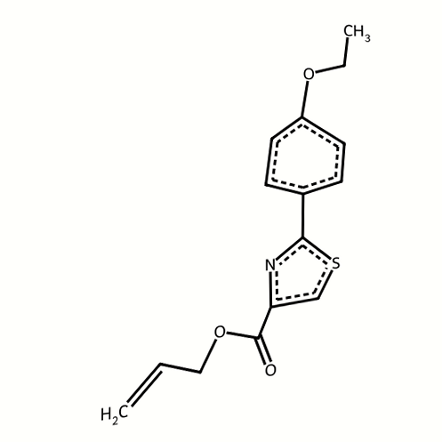 C=CCOC(=O)c1csc(-c2ccc(OCC)cc2)n1